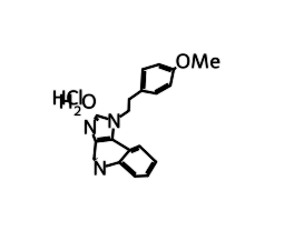 COc1ccc(CCn2cnc3cnc4ccccc4c32)cc1.Cl.O